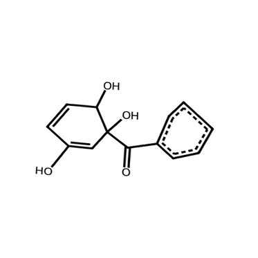 O=C(c1ccccc1)C1(O)C=C(O)C=CC1O